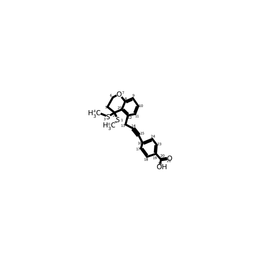 CSC1(SC)CCOc2cccc(CC#Cc3ccc(C(=O)O)cc3)c21